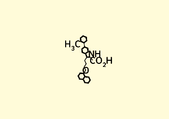 Cc1ccccc1-c1ccc2c(CCCOc3cccc4ccccc34)c(C(=O)O)[nH]c2c1